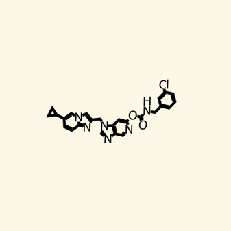 O=C(NCc1cccc(Cl)c1)Oc1cc2c(cn1)ncn2Cc1cn2cc(C3CC3)ccc2n1